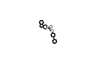 O=C(COc1ccc(-c2ccccc2)cc1)N1CCC2(C=Cc3ccccc32)CC1